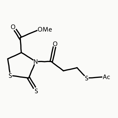 COC(=O)C1CSC(=S)N1C(=O)CCSC(C)=O